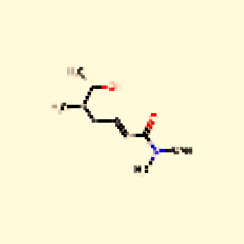 CON(C)C(=O)/C=C/C[C@@H](C)[C@H](C)O